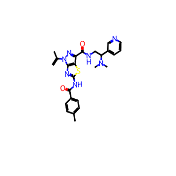 C=C(C)n1nc(C(=O)NCC(c2cccnc2)N(C)C)c2sc(NC(=O)c3ccc(C)cc3)nc21